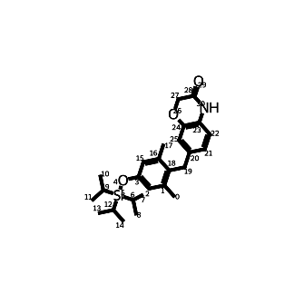 Cc1cc(O[Si](C(C)C)(C(C)C)C(C)C)cc(C)c1Cc1ccc2c(c1)OCC(=O)N2